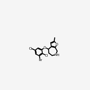 Cc1cc2c(o1)CNCCC2Oc1cc(Cl)cc(Br)c1Cl